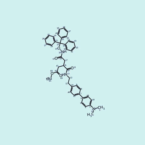 CN(C)c1ccc(-c2ccc(CCNC(=O)C(CC(=O)NOC(c3ccccc3)(c3ccccc3)c3ccccc3)CC(=O)OC(C)(C)C)cc2)cc1